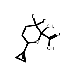 CC1(C(=O)O)OC(C2=CC2)CCC1(F)F